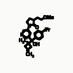 COCCC1CCN(c2cncc([C@@](O)(c3ccc(C(C)C)cc3)C3(C)CN(C)C3)c2)C1=O